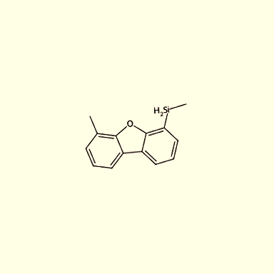 C[SiH2]c1cccc2c1oc1c(C)cccc12